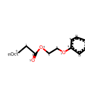 CCCCCCCCCC(=O)OCCOc1ccccc1